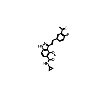 COc1c(C(=O)NC2CC2)ccc2[nH]nc(/C=C/c3ccc(F)c(C(C)=O)c3)c12